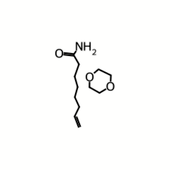 C1COCCO1.C=CCCCCCC(N)=O